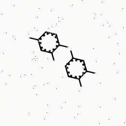 Nc1ccc(Nc2ccc(S(=O)(=O)O)c(N)c2)c(S(=O)(=O)O)c1